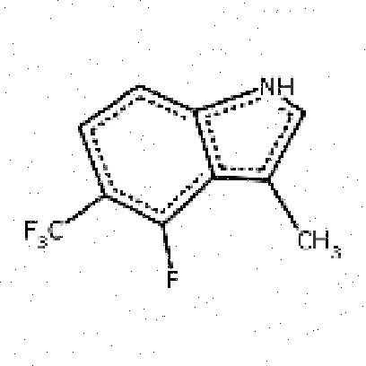 Cc1c[nH]c2ccc(C(F)(F)F)c(F)c12